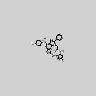 CCn1nc(C)cc1NC(=O)Cn1c(-c2ccccc2)nc2c(Nc3ccc(F)cc3)nc(N)nc21